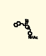 CCOCC1(C=Cc2ccc3ccccc3c2)CCN(Cc2ccc(NC(C)=O)cc2)CC1